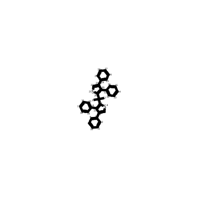 CC(C)(c1scc(-c2ccccc2)c1-c1ccccc1)c1scc(-c2ccccc2)c1-c1ccccc1